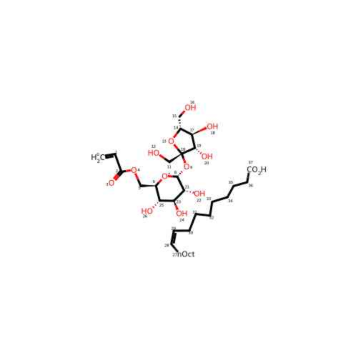 C=CC(=O)OC[C@H]1O[C@H](O[C@]2(CO)O[C@H](CO)[C@@H](O)[C@@H]2O)[C@H](O)[C@@H](O)[C@@H]1O.CCCCCCCC/C=C\CCCCCCCC(=O)O